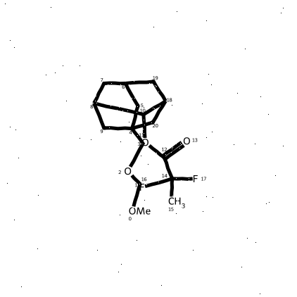 COCOCC12CC3CC(C1)C(OC(=O)C(C)(F)F)C(C3)C2